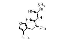 CNC(=N)NC(=N)N(C)Cc1cocc1C